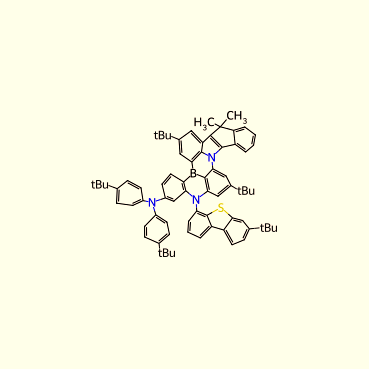 CC(C)(C)c1ccc(N(c2ccc(C(C)(C)C)cc2)c2ccc3c(c2)N(c2cccc4c2sc2cc(C(C)(C)C)ccc24)c2cc(C(C)(C)C)cc4c2B3c2cc(C(C)(C)C)cc3c5c(n-4c23)-c2ccccc2C5(C)C)cc1